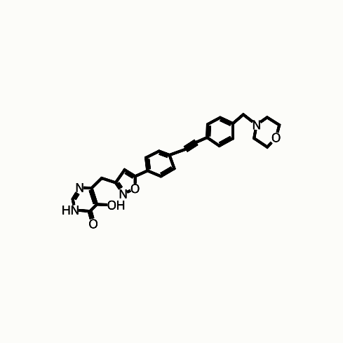 O=c1[nH]cnc(Cc2cc(-c3ccc(C#Cc4ccc(CN5CCOCC5)cc4)cc3)on2)c1O